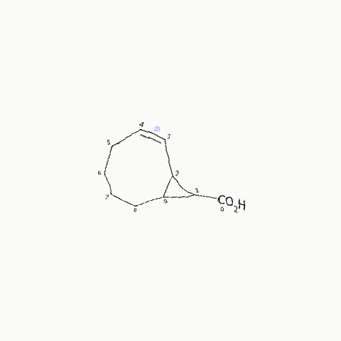 O=C(O)C1C2/C=C\CCCCC21